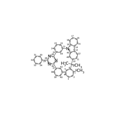 Cc1ccccc1C(C)(C)c1ccc2c3ccccc3n(-c3cccc(-c4nc(-c5ccccc5)nc(-c5ccccc5)n4)c3)c2c1